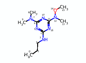 CCCNc1nc(N(C)C)nc(N(C)OC)n1